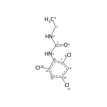 CCNC(=O)Nc1c(Cl)cc(Cl)cc1Cl